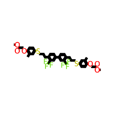 COC(=O)COc1ccc(SCCCc2ccc(-c3ccc(CCCSc4ccc(OCC(=O)OC)c(C)c4)c(C(F)(F)F)c3)cc2C(F)(F)F)cc1C